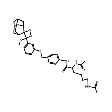 COC1(c2cccc(OCc3ccc(NC(=O)C(CCCCNC(C)=O)NC(C)=O)cc3)c2)OOC12C1CC3CC(C1)CC2C3